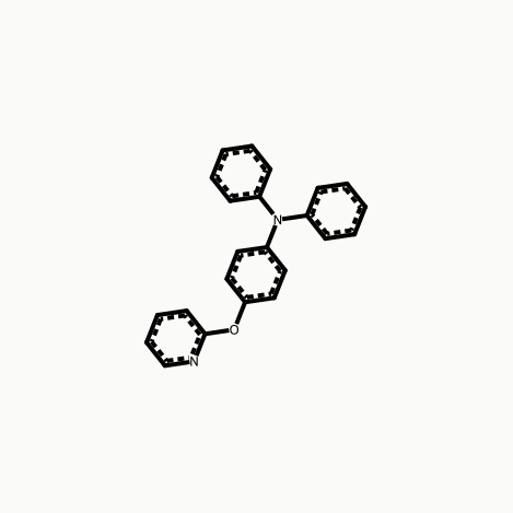 c1ccc(N(c2ccccc2)c2ccc(Oc3ccccn3)cc2)cc1